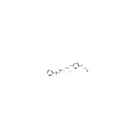 CN(C)C(CNC(=O)CC(C)(C)c1ccccc1)Cc1ccc(C(=O)NCC(F)(F)F)c(F)c1